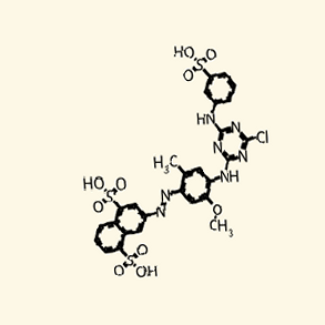 COc1cc(/N=N/c2cc(S(=O)(=O)O)c3cccc(S(=O)(=O)O)c3c2)c(C)cc1Nc1nc(Cl)nc(Nc2cccc(S(=O)(=O)O)c2)n1